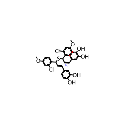 COc1ccc(C(C=Cc2ccc(O)c(O)c2)SC(/C=C\c2ccc(O)c(O)c2)c2ccc(OC)cc2Cl)c(Cl)c1